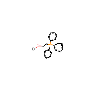 CCOCC=P(c1ccccc1)(c1ccccc1)c1ccccc1